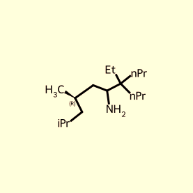 CCCC(CC)(CCC)C(N)C[C@H](C)CC(C)C